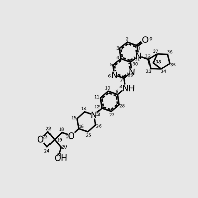 O=c1ccc2cnc(Nc3ccc(N4CCC(OCC5(CO)COC5)CC4)cc3)nc2n1C1CC2CCC1C2